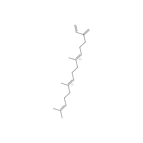 C=CC(=C)CC/C=C(\C)CC/C=C(\C)CCC=C(C)C